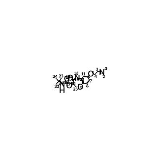 CN(C)CCOc1ccc2c(c1)N(C)C(=O)[C@@H](OC(=O)NC(C)(C)C)CO2